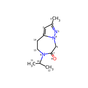 Cc1cc2n(n1)CC(=O)N(C(C)C)CC2